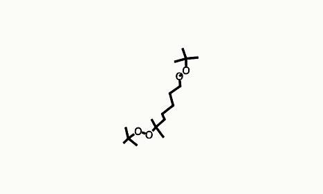 CC(C)(C)OOCCCCCC(C)(C)OOC(C)(C)C